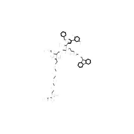 CC(C)(C)OC(=O)NCCOCCOCCOCCOCCC(=O)NC(CSCC(=O)N(CCCNC(=O)OCC1c2ccccc2-c2ccccc21)C(c1cc(-c2cc(F)ccc2F)cn1Cc1ccccc1)C(C)(C)C)C(=O)OC(C)(C)C